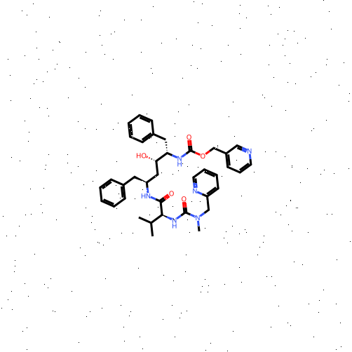 CC(C)[C@H](NC(=O)N(C)Cc1ccccn1)C(=O)N[C@@H](Cc1ccccc1)C[C@H](O)[C@H](Cc1ccccc1)NC(=O)OCc1cccnc1